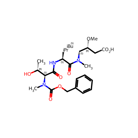 CC[C@H](C)[C@@H]([C@@H](CC(=O)O)OC)N(C)C(=O)[C@@H](NC(=O)[C@H]([C@@H](C)O)N(C)C(=O)OCc1ccccc1)C(C)C